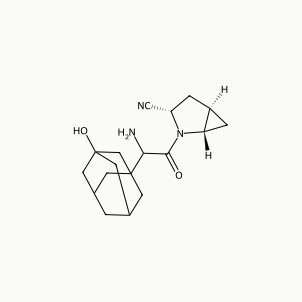 N#C[C@@H]1C[C@H]2C[C@@H]2N1C(=O)C(N)C12CC3CC(CC(O)(C3)C1)C2